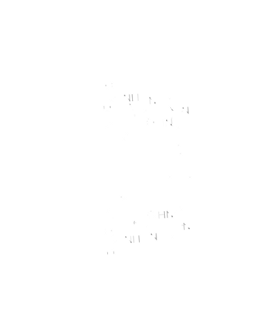 CC(C)(C)OC(=O)N[C@@H](C(=O)N1CCC[C@H]1c1ncc(C#Cc2ccc(-c3cnc([C@@H]4CCCN4C(=O)[C@H](NC(=O)OC(C)(C)C)c4ccccc4)[nH]3)cc2)[nH]1)c1ccccc1